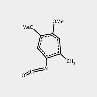 COc1cc(C)c(N=C=O)cc1OC